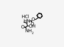 CC(NC(=O)OCc1ccccc1)C(O)C(N)=O.Cl